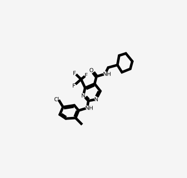 Cc1ccc(Cl)cc1Nc1ncc(C(=O)NCC2CCCCC2)c(C(F)(F)F)n1